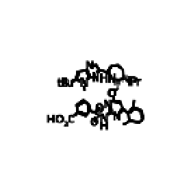 Cc1cccc(C)c1-c1cc(OC[C@@H]2NC(c3cnc4cc(C(C)(C)C)n(C)c4n3)CCC[C@H]2C(C)C)nc(NS(=O)(=O)c2cccc(C(=O)O)c2)n1